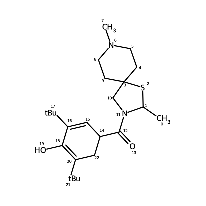 CC1SC2(CCN(C)CC2)CN1C(=O)C1C=C(C(C)(C)C)C(O)=C(C(C)(C)C)C1